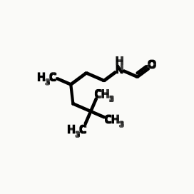 CC(CCNC=O)CC(C)(C)C